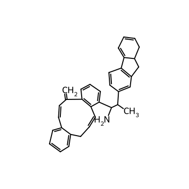 C=C1/C=C\c2ccccc2C/C=C\c2c1cccc2C(N)C(C)c1ccc2c(c1)CC1CC=CC=C21